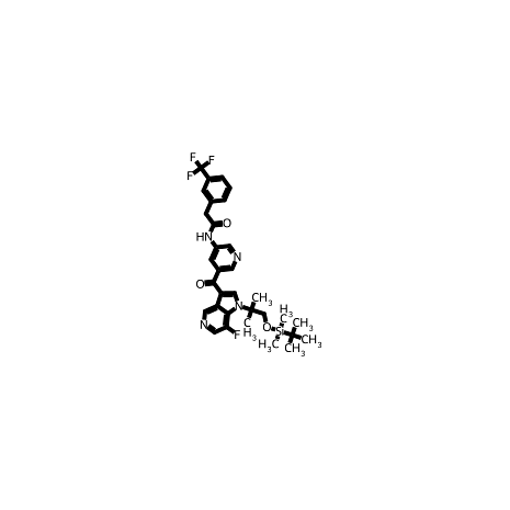 CC(C)(CO[Si](C)(C)C(C)(C)C)n1cc(C(=O)c2cncc(NC(=O)Cc3cccc(C(F)(F)F)c3)c2)c2cncc(F)c21